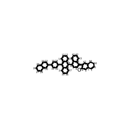 C1=Cc2cc3oc4cc(-c5c6ccccc6c(-c6ccc(-c7ccc8ccccc8c7)cc6)c6ccccc56)c5ccccc5c4c3cc2CC1